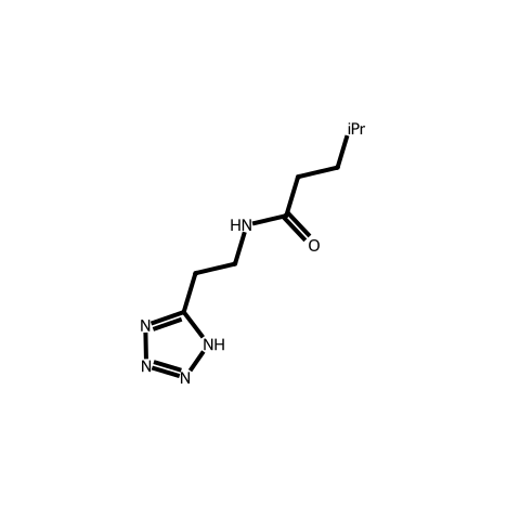 CC(C)CCC(=O)NCCc1nnn[nH]1